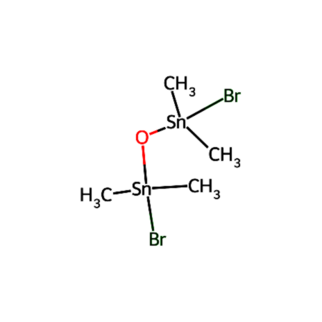 [CH3][Sn]([CH3])([Br])[O][Sn]([CH3])([CH3])[Br]